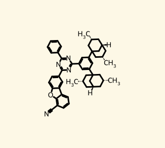 C[C@@H]1C[C@@H]2C[C@H](C)CC(c3cc(-c4nc(-c5ccccc5)nc(-c5ccc6oc7c(C#N)cccc7c6c5)n4)cc(C45C[C@H](C)C[C@H](C[C@H](C)C4)C5)c3)(C1)C2